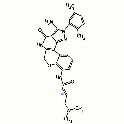 Cc1ccc(C)c(-n2nc3c4c([nH]c(=O)c3c2N)COc2c(NC(=O)/C=C/CN(C)C)cccc2-4)c1